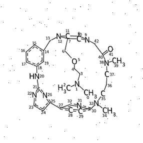 CN(C)CCOCC1CN2CCN1Cc1cccc(c1)Nc1nccc(n1)-c1ccc(nc1)N(C)CCCN(C)C(=O)C2